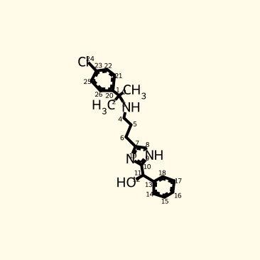 CC(C)(NCCCc1c[nH]c(C(O)c2ccccc2)n1)c1ccc(Cl)cc1